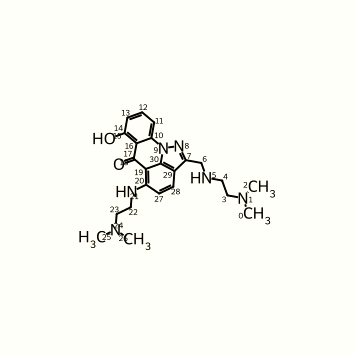 CN(C)CCNCc1nn2c3cccc(O)c3c(=O)c3c(NCCN(C)C)ccc1c32